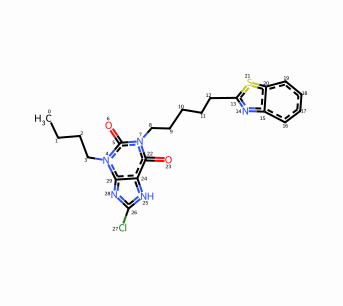 CCCCn1c(=O)n(CCCCCc2nc3ccccc3s2)c(=O)c2[nH]c(Cl)nc21